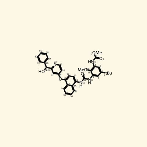 COC(=O)Nc1cc(C(C)(C)C)cc(NC(=O)Nc2ccc(Oc3ccnc(C(O)c4ccccc4)c3)c3ccccc23)c1OC